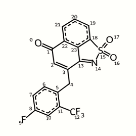 O=C1C=C(Cc2ccc(F)cc2C(F)(F)F)C2=NS(=O)(=O)c3cccc1c32